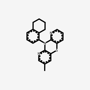 Cc1cnc2c(c1)Sc1cccnc1N2c1cccc2c1CCCC2